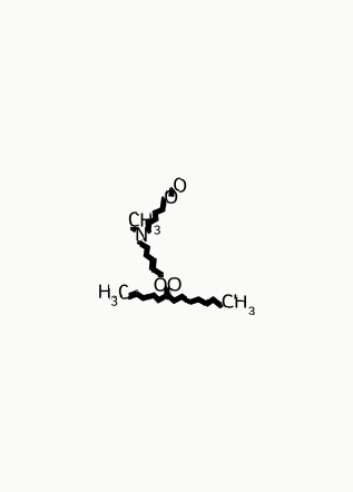 CCCCCCCCC(CCCCCC)C(=O)OCCCCCCN(CC)CCCCCCOC=O